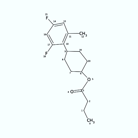 CCCC(=O)OC1CCC(c2c(C)cc(F)cc2F)CC1